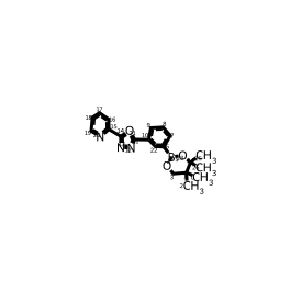 CC1(C)COB(c2cccc(-c3nnc(-c4ccccn4)o3)c2)OC1(C)C